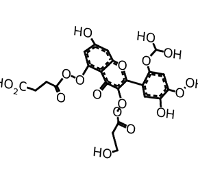 O=C(O)CCC(=O)OOc1cc(O)cc2oc(-c3cc(O)c(OO)cc3OC(O)O)c(OOC(=O)CCO)c(=O)c12